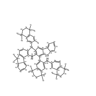 Cc1cc2c(cc1N1c3ccc4c(c3Bc3c1cc1c(sc5ccccc51)c3-c1cc3c(cc1Nc1ccc5c(c1)C(C)(C)CCC5(C)C)C(C)(C)CCC3(C)C)-c1ccccc1C4(C)C)C(C)(C)CCC2(C)C